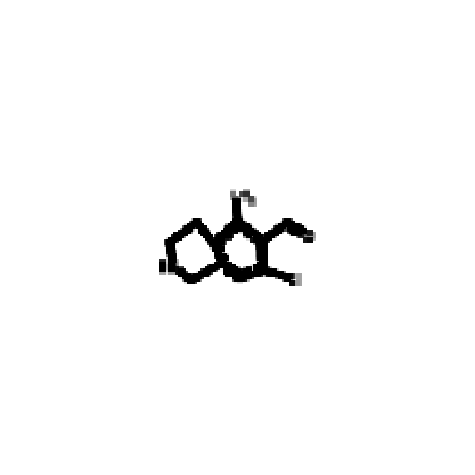 Cc1c(C=O)c(Cl)cc2c1CCNC2